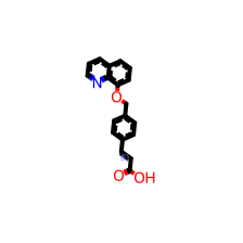 O=C(O)/C=C/c1ccc(COc2cccc3cccnc23)cc1